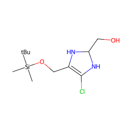 CC(C)(C)[Si](C)(C)OCC1=C(Cl)NC(CO)N1